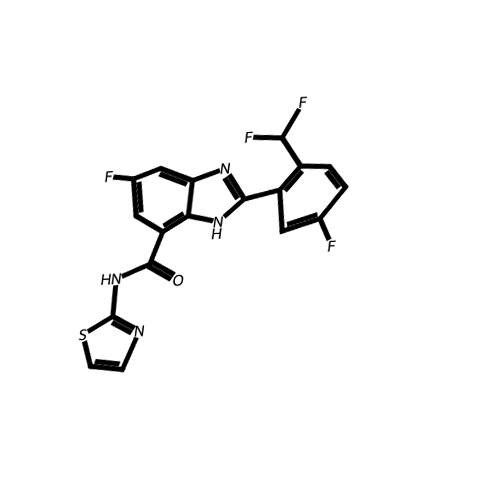 O=C(Nc1nccs1)c1cc(F)cc2nc(-c3cc(F)ccc3C(F)F)[nH]c12